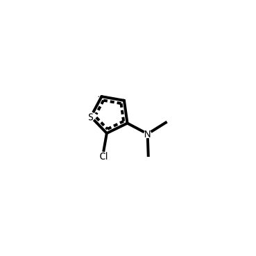 CN(C)c1c[c]sc1Cl